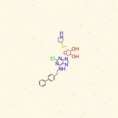 O[C@@H]1[C@H](O)[C@@H](CS[C@H]2CCNC2)O[C@H]1n1cnc2c(NCCc3ccc(-c4ccccc4)cc3)nc(Cl)nc21